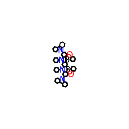 C1=Cc2c(c3ccccc3n2-c2cc3c4c(c2)N(c2ccccc2)c2cc5c(cc2B4c2ccccc2O3)B2c3ccccc3Oc3cc(-n4c6ccccc6c6ccccc64)cc(c32)N5c2ccccc2)CC1